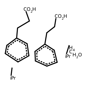 C.CC(C)C.CC(C)C.O.O=C(O)CCc1ccccc1.O=C(O)CCc1ccccc1